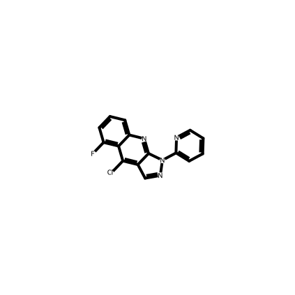 Fc1cccc2nc3c(cnn3-c3ccccn3)c(Cl)c12